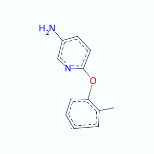 Cc1c[c]ccc1Oc1ccc(N)cn1